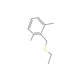 CCSCc1c(C)cccc1C